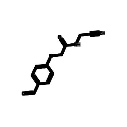 C#CCNC(=O)COc1ccc(C=O)cc1